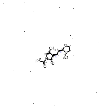 CCN1CCS/C1=C/C=C1/C(=O)N(C(=O)C(C)C)N=C1C